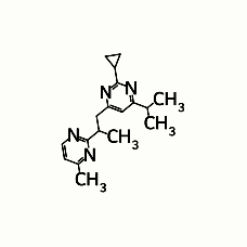 Cc1ccnc(C(C)Cc2cc(C(C)C)nc(C3CC3)n2)n1